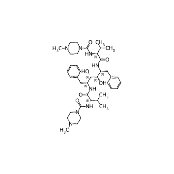 CC(C)[C@H](NC(=O)N1CCN(C)CC1)C(=O)N[C@@H](Cc1ccccc1)[C@H](O)[C@H](O)[C@H](Cc1ccccc1)NC(=O)[C@@H](NC(=O)N1CCN(C)CC1)C(C)C